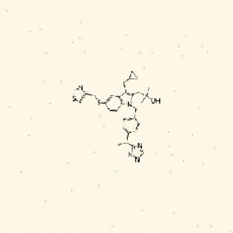 CC(c1ccc(Cn2c(CC(C)(C)O)c(CC3CC3)c3cc(SCc4cscn4)ccc32)cc1)n1ncnn1